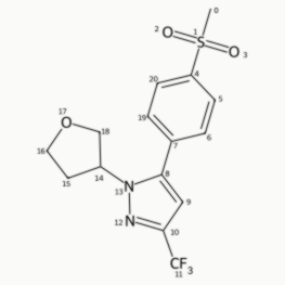 CS(=O)(=O)c1ccc(-c2cc(C(F)(F)F)nn2C2CCOC2)cc1